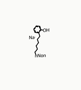 CCCCCCCCCCCCCCCc1ccccc1O.[Na]